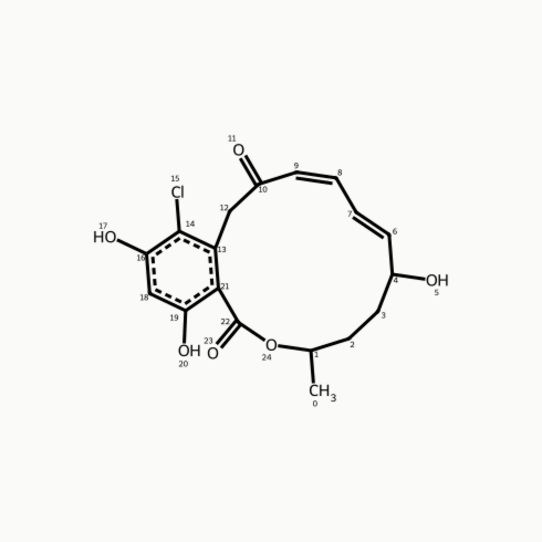 CC1CCC(O)/C=C/C=C\C(=O)Cc2c(Cl)c(O)cc(O)c2C(=O)O1